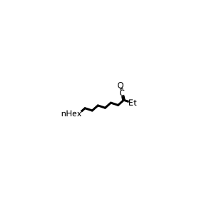 CCCCCCCCCCCCC(=C=O)CC